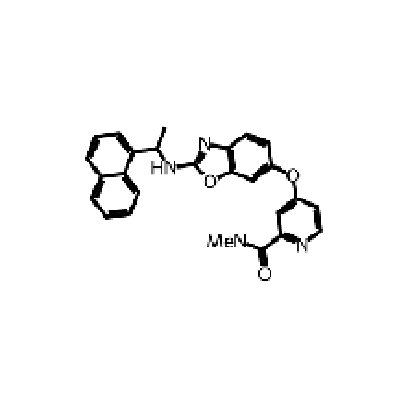 CNC(=O)c1cc(Oc2ccc3nc(NC(C)c4cccc5ccccc45)oc3c2)ccn1